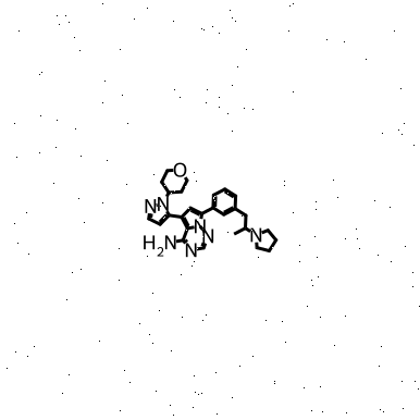 CC(Cc1cccc(-c2cc(-c3ccnn3C3CCOCC3)c3c(N)ncnn23)c1)N1CCCC1